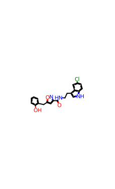 O=C(NCCc1c[nH]c2ccc(Cl)cc12)c1cc(Cc2ccccc2O)on1